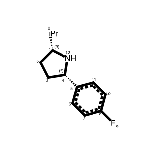 CC(C)[C@H]1CC[C@@H](c2ccc(F)cc2)N1